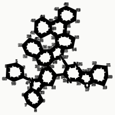 c1ccc(-n2c3ccccc3c3cc(-c4nc5oc6ccccc6c5nc4-n4c5ccc6ccccc6c5c5c6c7ccccc7c7ccccc7c6ccc54)ccc32)cc1